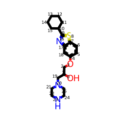 OC(COc1ccc2sc(C3CCCCC3)nc2c1)CN1CCNCC1